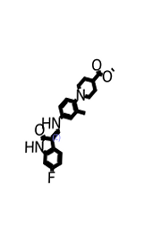 COC(=O)C1CCN(c2ccc(N/C=C3\C(=O)Nc4cc(F)ccc43)cc2C)CC1